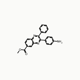 COC(=O)c1ccc2nc(-c3ccccc3)c(-c3ccc(N)cc3)nc2c1